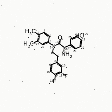 Cc1ccc(N(CCc2ccc(F)c(F)c2)C(=O)C(N)c2ccccc2)cc1C.Cl